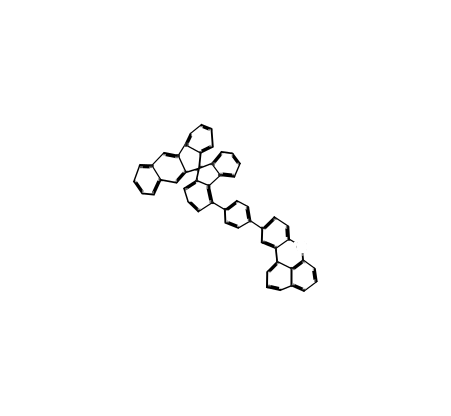 c1ccc2c(c1)-c1cc3ccccc3cc1C21c2ccccc2-c2c(-c3ccc(-c4ccc5c(c4)-c4cccc6cccc(c46)O5)cc3)cccc21